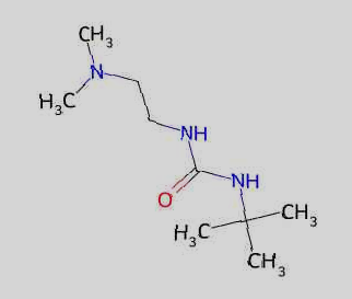 CN(C)CCNC(=O)NC(C)(C)C